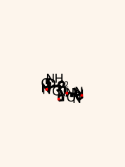 Cc1nn2cccnc2c1C(=O)N[C@@H](C)c1cc2cccc(C#Cc3cnn(C)c3S(=O)(=O)C(C)N)c2c(=O)n1-c1ccccc1